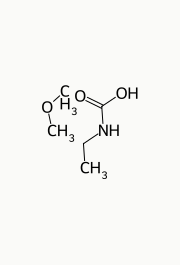 CCNC(=O)O.COC